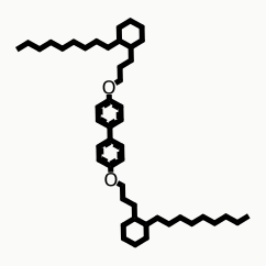 CCCCCCCCCC1CCCCC1CCCOc1ccc(-c2ccc(OCCCC3CCCCC3CCCCCCCCC)cc2)cc1